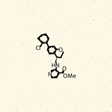 COC(=O)c1ccncc1NC[C@@H]1CCOc2cc(-c3ccccc3Cl)ccc21